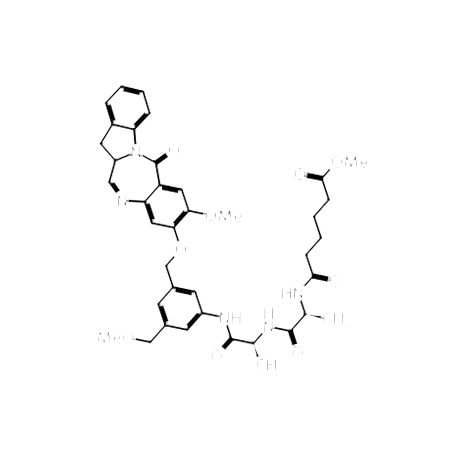 COCc1cc(COc2cc3c(cc2OC)C(=O)N2c4ccccc4CC2C=N3)cc(NC(=O)[C@H](C)NC(=O)[C@H](C)NC(=O)CCCCC(=O)OC)c1